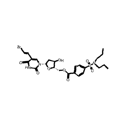 CCCN(CCC)S(=O)(=O)c1ccc(C(=O)OC[C@@H]2O[C@H](n3cc(/C=C/Br)c(=O)[nH]c3=O)CC2O)cc1